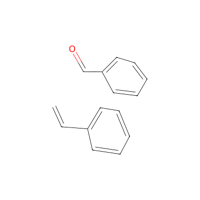 C=Cc1ccccc1.O=Cc1ccccc1